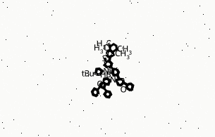 CC(C)(C)c1ccc(Nc2cc3sc4cc5c(cc4c3cc2-c2ccc3c4cc6c(cc4n4c3c2Bc2cc3oc(-c7ccccc7)c(-c7ccccc7)c3cc2-4)oc2ccccc26)C(C)(C)CCC5(C)C)cc1